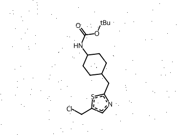 CC(C)(C)OC(=O)NC1CCC(Cc2ncc(CCl)s2)CC1